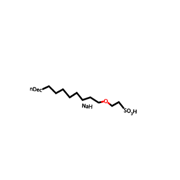 CCCCCCCCCCCCCCCCCCOCCS(=O)(=O)O.[NaH]